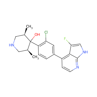 C[C@@H]1CNC[C@H](C)C1(O)c1ccc(-c2ccnc3[nH]cc(F)c23)cc1Cl